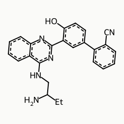 CCC(N)CNc1nc(-c2cc(-c3ccccc3C#N)ccc2O)nc2ccccc12